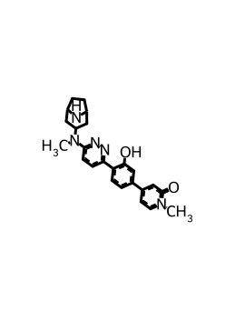 CN(c1ccc(-c2ccc(-c3ccn(C)c(=O)c3)cc2O)nn1)C1CC2CCC(C1)N2